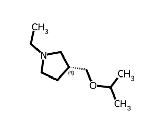 CCN1CC[C@@H](COC(C)C)C1